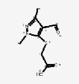 Cc1nn(C)c(SCC(=O)O)c1C=O